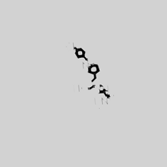 C[C@H](O)[C@@H](CCc1ccc2oc(-c3ccc(Cl)cc3)nc2c1)n1cnc(C(N)=O)c1